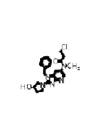 CN(C(=O)CCCl)c1cnc2nc(N3CC[C@H](O)C3)n(Cc3ccccc3)c2c1